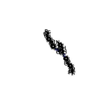 Nc1ccc(CC(CC(=O)/C=C/c2ccc(OC(=O)c3ccc(OC(F)(F)C(F)F)cc3)cc2)C(O)(O)C(=O)/C=C/c2ccc(OC(=O)c3ccc(OC(F)(F)C(F)F)cc3)cc2)cc1